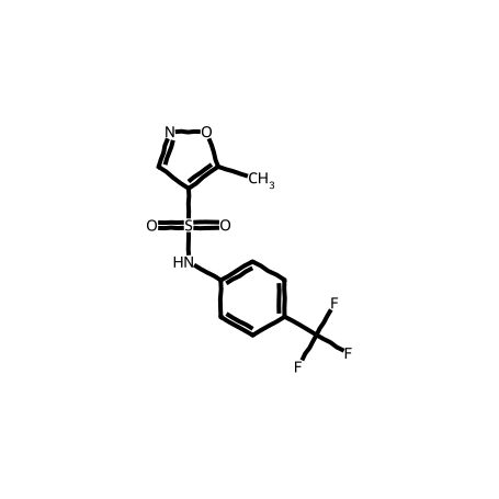 Cc1oncc1S(=O)(=O)Nc1ccc(C(F)(F)F)cc1